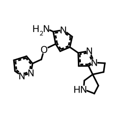 Nc1ncc(-c2cc3n(n2)CCC32CCNC2)cc1OCc1cccnn1